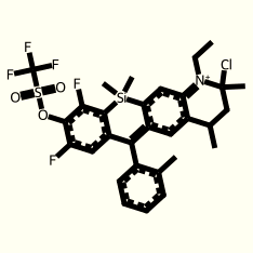 CC[N+]1=c2cc3c(cc2C(C)CC1(C)Cl)=C(c1ccccc1C)c1cc(F)c(OS(=O)(=O)C(F)(F)F)c(F)c1[Si]3(C)C